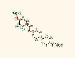 CCCCCCCCC[C@H]1CC[C@H]([C@H]2CC[C@H](CCc3ccc(OC(F)F)c(F)c3F)CC2)CC1